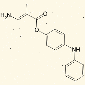 CC(=CN)C(=O)Oc1ccc(Nc2ccccc2)cc1